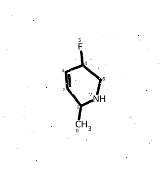 CC1C=CC(F)CN1